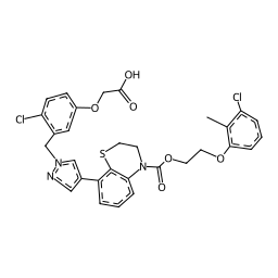 Cc1c(Cl)cccc1OCCOC(=O)N1CCSc2c(-c3cnn(Cc4cc(OCC(=O)O)ccc4Cl)c3)cccc21